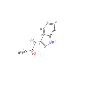 COC(=O)C([O])c1c[nH]c2ccccc12